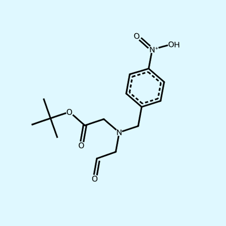 CC(C)(C)OC(=O)CN(CC=O)Cc1ccc([N+](=O)O)cc1